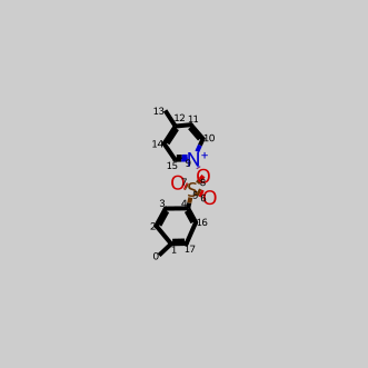 Cc1ccc(S(=O)(=O)O[n+]2ccc(C)cc2)cc1